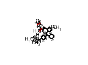 CCN1CC23COCC2(C1)CN(C(=O)C12CC1c1cc(OC)ccc1-c1c(C4CCCCC4)c4ccc(C(=O)NS(=O)(=O)C(C)C)cc4n1C2)C3